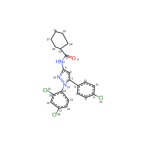 O=C(Nc1cc(-c2ccc(Cl)cc2)n(-c2ccc(Cl)cc2Cl)n1)C1CCCCC1